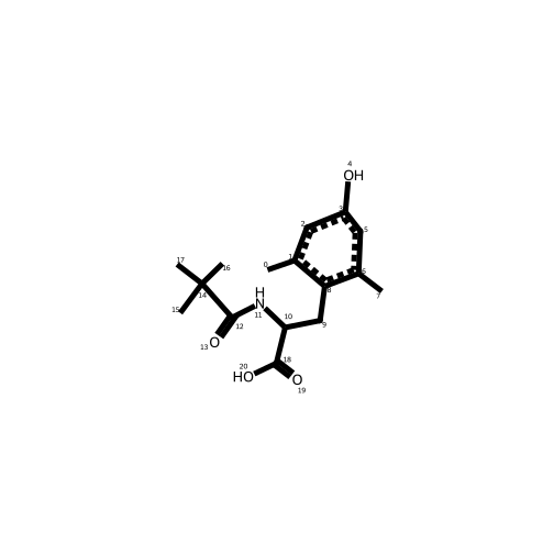 Cc1cc(O)cc(C)c1CC(NC(=O)C(C)(C)C)C(=O)O